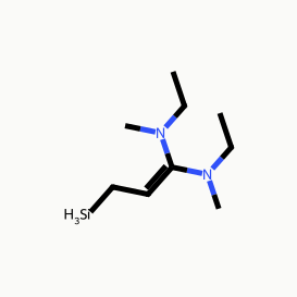 CCN(C)C(=CC[SiH3])N(C)CC